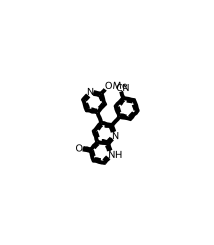 COc1cc(-c2cc3c(=O)cc[nH]c3nc2-c2cccc(C#N)c2)ccn1